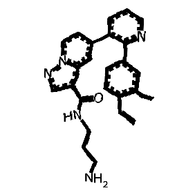 C=Cc1ccc(-c2ncccc2-c2ccn3ncc(C(=O)NCCCN)c3c2)cc1C